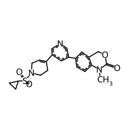 CN1C(=O)OCc2cc(-c3cncc(C4=CCN(S(=O)(=O)C5CC5)CC4)c3)ccc21